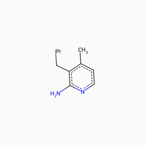 Cc1ccnc(N)c1CC(C)C